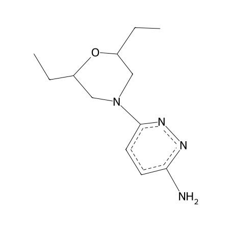 CCC1CN(c2ccc(N)nn2)CC(CC)O1